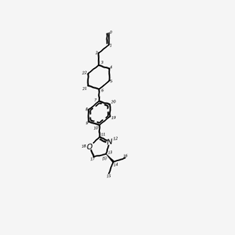 C=CCC1CCC(c2ccc(C3=N[C@@H](C(C)C)CO3)cc2)CC1